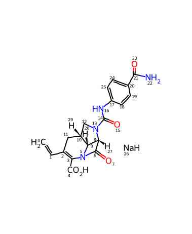 C=CC1=C(C(=O)O)N2C(=O)[C@@H]3[C@H]2[C@H](C1)CN3C(=O)Nc1ccc(C(N)=O)cc1.[NaH]